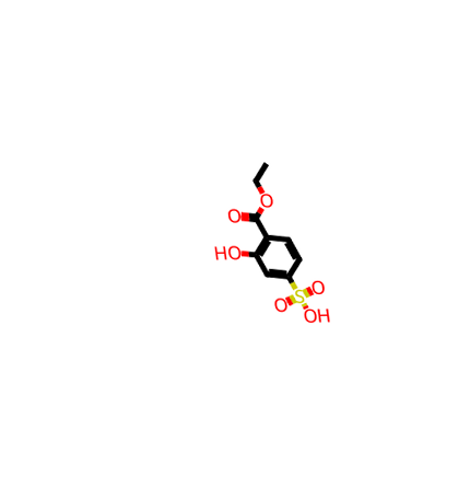 CCOC(=O)c1ccc(S(=O)(=O)O)cc1O